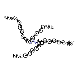 COCCOCCOCCOCCOc1ccc2c(c1)C(C)(C)C(\C=C/C=C\C=C1\N(CCOCCOCCOCCOC)c3ccc(OCCOCCOCCOCCOCCN=[N+]=[N-])cc3C1(C)C)=[N+]2CCOCCOCCOCCOC